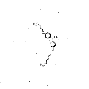 CCCCCCCCc1ccc(C(C)c2ccc(OCCCC)cc2)nc1